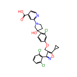 O=C(O)c1ccnc(N2CCC(O)(c3ccc(OCc4c(-c5c(Cl)cccc5Cl)noc4C4CC4)cc3Cl)C2)c1